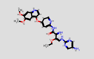 CCO/C(=C/Nc1ncc(N)cn1)C(=N)C(=O)NC1=CC=C(Oc2ccnc3cc(OC)c(OC)cc23)CC=N1